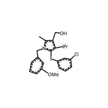 COc1cccc(Cn2c(C)c(CO)c(C(C)C)c2Sc2cccc(Cl)c2)c1